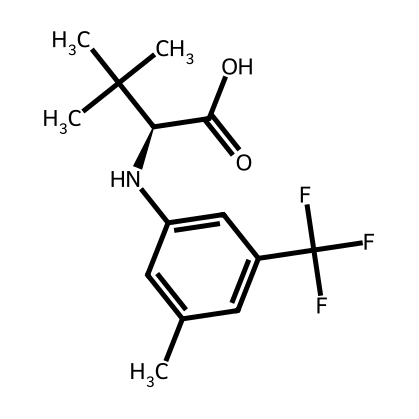 Cc1cc(N[C@H](C(=O)O)C(C)(C)C)cc(C(F)(F)F)c1